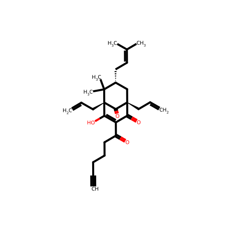 C#CCCCC(=O)C1=C(O)[C@@]2(CC=C)C(=O)[C@](CC=C)(C[C@@H](CC=C(C)C)C2(C)C)C1=O